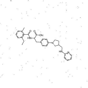 CCc1cccc(C)c1C(=O)NC(Cc1ccc(N2CCC(CNc3ccccn3)C2)cc1)C(=O)O